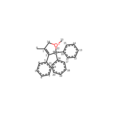 CC1=C(c2ccccc2)[B-](c2ccccc2)(c2ccccc2)[O+](C)C1